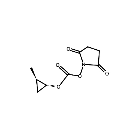 C[C@@H]1C[C@H]1OC(=O)ON1C(=O)CCC1=O